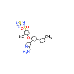 Cc1cccc(-c2ccc(Oc3ccc(S(=O)(=O)Nc4ncns4)cc3C#N)c(-c3ccnc(CN)c3)c2)c1